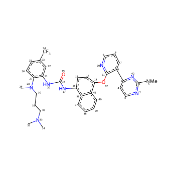 CNc1nccc(-c2cccnc2Oc2ccc(NC(=O)Nc3cc(C(F)(F)F)ccc3N(C)CCCN(C)C)c3ccccc23)n1